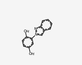 Oc1ccc(O)c(-n2cc3ccccc3n2)c1